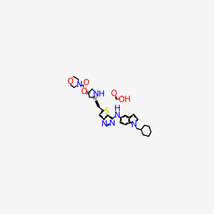 O=C(O[C@H]1CN[C@H](C#Cc2cc3ncnc(Nc4ccc5c(ccn5CC5CCCCC5)c4)c3s2)C1)N1CCOCC1.O=CO